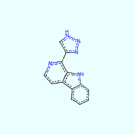 c1ccc2c(c1)[nH]c1c(-c3c[nH]nn3)nccc12